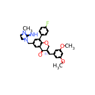 COc1cc(/C=C2\COc3c(cc(Cn4ccn(C)c4=N)cc3-c3ccc(F)cc3)C2=O)cc(OC)c1